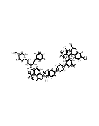 CCOP(=O)(Nc1ccc(N2CCN(c3cc(F)cc(-c4c(S(C)(=O)=O)c(C)n(C(C)C)c4-c4ccc(Cl)cc4)c3)CC2)cc1)c1ccc(NC(CCN2CCC(O)CC2)CSc2ccccc2)c(S(C)(=O)=O)c1